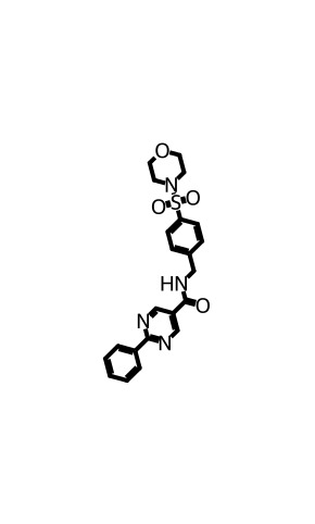 O=C(NCc1ccc(S(=O)(=O)N2CCOCC2)cc1)c1cnc(-c2ccccc2)nc1